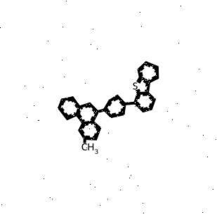 Cc1ccc2c(-c3ccc(-c4cccc5c4sc4ccccc45)cc3)cc3ccccc3c2c1